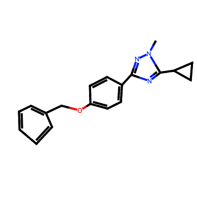 Cn1nc(-c2ccc(OCc3ccccc3)cc2)nc1C1CC1